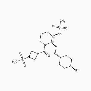 CC(C)[C@H]1CC[C@@H](OC[C@@H]2[C@H](NS(C)(=O)=O)CCCN2C(=O)C2CN(S(C)(=O)=O)C2)CC1